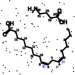 CCCCC/C=C\C/C=C\CCCCCCCC(=O)O.NCCCC(=O)O